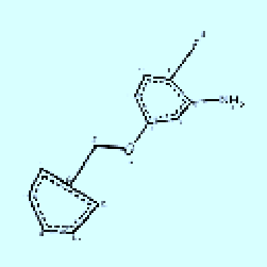 Nc1cc(OCc2ccccc2)ccc1F